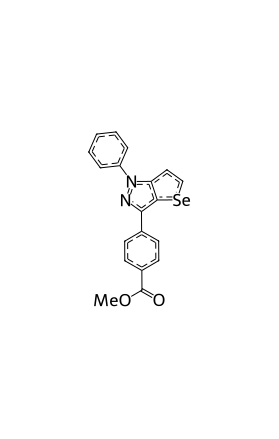 COC(=O)c1ccc(-c2nn(-c3ccccc3)c3cc[se]c23)cc1